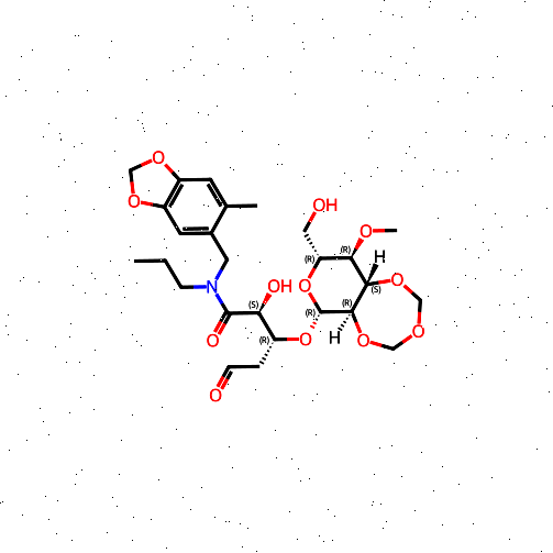 CCCN(Cc1cc2c(cc1C)OCO2)C(=O)[C@@H](O)[C@@H](CC=O)O[C@@H]1O[C@H](CO)[C@@H](OC)[C@@H]2OCOCO[C@@H]12